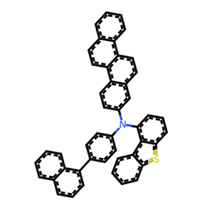 c1ccc2c(-c3ccc(N(c4ccc5c(ccc6c7ccccc7ccc56)c4)c4cccc5sc6ccccc6c45)cc3)cccc2c1